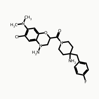 CN(C)c1cc2c(cc1Cl)N(N)CC(C(=O)N1CCC(N)(Cc3ccc(F)cc3)CC1)O2